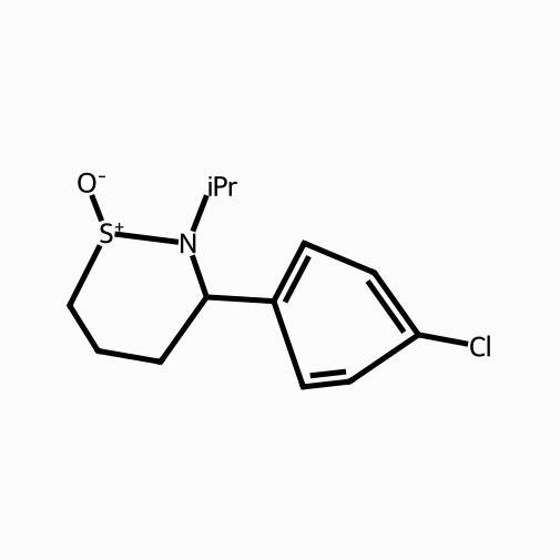 CC(C)N1C(c2ccc(Cl)cc2)CCC[S+]1[O-]